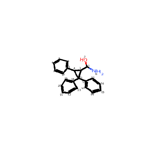 NC(O)C1C(c2ccccc2)C1(c1ccccc1)c1ccccc1